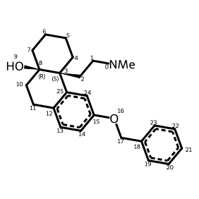 CNCC[C@]12CCCC[C@@]1(O)CCc1ccc(OCc3ccccc3)cc12